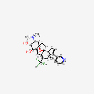 CN(C)[C@H]1C[C@@]23CC[C@@]4(O2)C(=C(C(F)(F)F)C[C@]2(C)C(c5cccnc5)=CCC24)C=C3[C@@H](O)[C@@H]1O